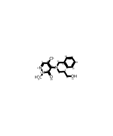 Cn1ncc(Cl)c(N(CCCO)Cc2ccccc2)c1=O